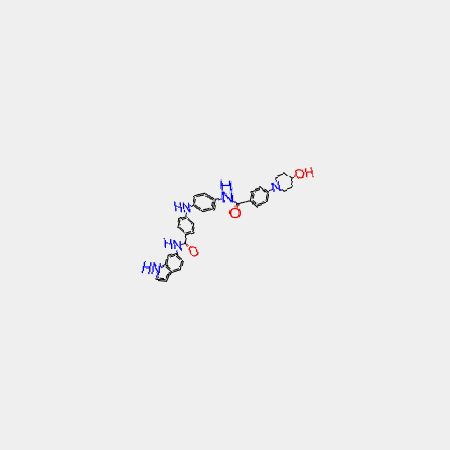 O=C(Nc1ccc(Nc2ccc(C(=O)Nc3ccc4cc[nH]c4c3)cc2)cc1)c1ccc(N2CCC(O)CC2)cc1